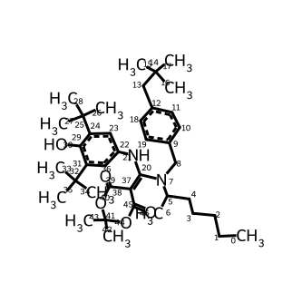 CCCCCC(C)N(Cc1ccc(CC(C)(C)C)cc1)C(Nc1cc(C(C)(C)C)c(O)c(C(C)(C)C)c1)=C1C(=O)OC(C)(C)OC1=O